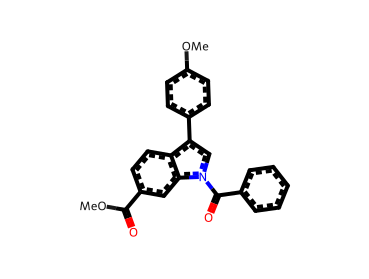 COC(=O)c1ccc2c(-c3ccc(OC)cc3)cn(C(=O)c3ccccc3)c2c1